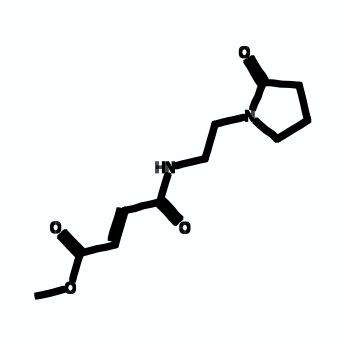 COC(=O)C=CC(=O)NCCN1CCCC1=O